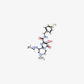 CC(C)CNC1CN(C)CCn2c1nc(C(=O)NCc1ccc(F)cc1)c(O)c2=O